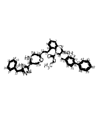 COC(=O)N(c1ccccc1CC[C@@H]1CN[C@H](c2nnc(Cc3ccccc3)[nH]2)CO1)[C@@H](Cc1ccc(-c2ccccc2)cc1)C(N)=O